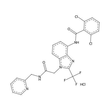 Cl.O=C(Cn1c(C(F)(F)F)nc2c(NC(=O)c3c(Cl)cccc3Cl)cccc21)NCc1ccccn1